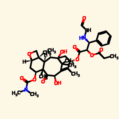 CCC(=O)O[C@@H](C(=O)O[C@H]1C[C@@]2(O)[C@@H](C)[C@@H]3[C@]4(C)CO[C@@H]4C[C@H](OC(=O)N(C)C)[C@@]3(C)C(=O)[C@H](O)C(=C1C)C2(C)C)[C@@H](NBC=O)c1ccccc1